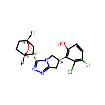 Oc1ccc(Cl)c(Cl)c1[C@@H]1Cc2nnc([C@H]3C[C@H]4CC[C@@H]3O4)n2C1